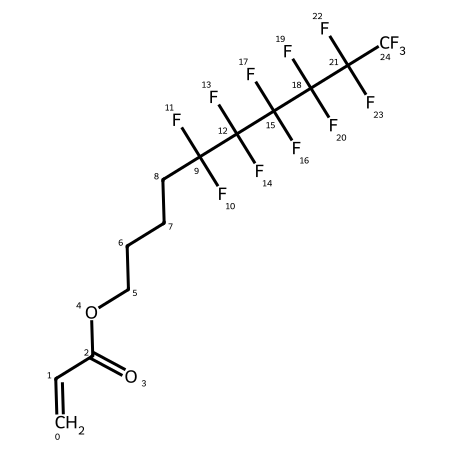 C=CC(=O)OCCCCC(F)(F)C(F)(F)C(F)(F)C(F)(F)C(F)(F)C(F)(F)F